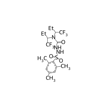 CCC(N(C(=O)NNS(=O)(=O)c1c(C)cc(C)cc1C)C(CC)C(F)(F)F)C(F)(F)F